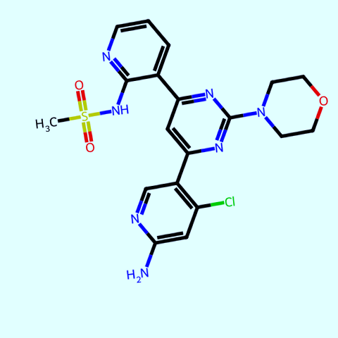 CS(=O)(=O)Nc1ncccc1-c1cc(-c2cnc(N)cc2Cl)nc(N2CCOCC2)n1